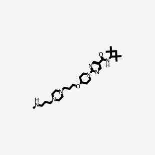 CNCCCN1CCN(CCCOC2CCN(c3ncc(C(=O)NC4C(C)(C)CC4(C)C)cn3)CC2)CC1